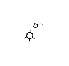 CCCCO[C@H]1C[C@H](Oc2cc(Br)c(F)c(C#N)c2)C1